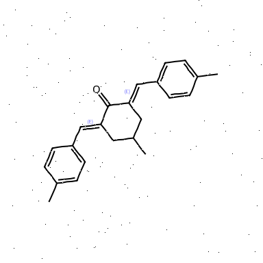 Cc1ccc(/C=C2\CC(C)C/C(=C\c3ccc(C)cc3)C2=O)cc1